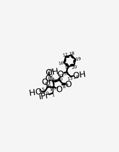 CC(C)C[C@]1([C@@H](O)CO)OC(=O)C(OC(CO)c2ccccc2)=C1OO